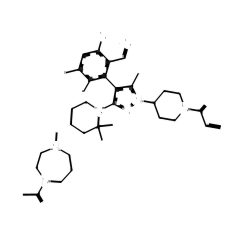 C=CC(=O)N1CCC(n2nc(N3CC[C@@H](CN4CCCN(C(C)=O)CC4)CC3(C)C)c(-c3c(Cl)c(Cl)cc(N)c3C=N)c2C)CC1